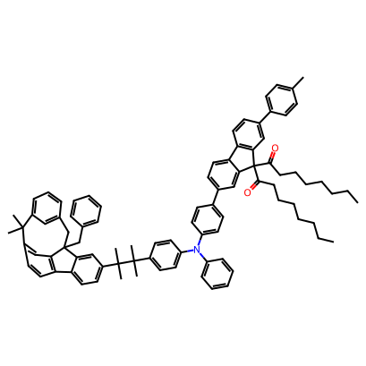 CCCCCCCC(=O)C1(C(=O)CCCCCCC)c2cc(-c3ccc(C)cc3)ccc2-c2ccc(-c3ccc(N(c4ccccc4)c4ccc(C(C)(C)C(C)(C)c5ccc6c(c5)C5(Cc7ccccc7)Cc7cccc(c7)C(C)(C)c7ccc-6c5c7)cc4)cc3)cc21